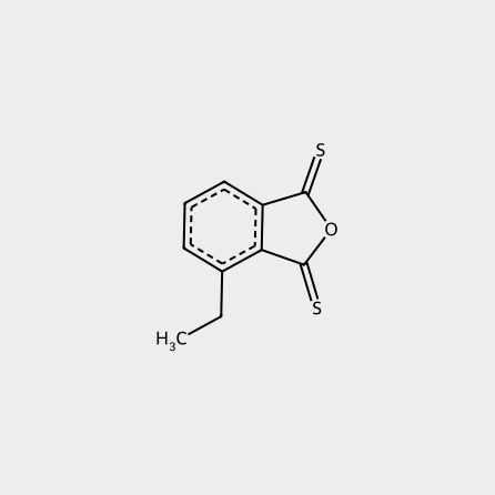 CCc1cccc2c1C(=S)OC2=S